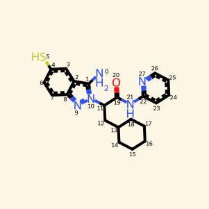 Nc1c2cc(S)ccc2nn1C(CC1CCCCC1)C(=O)Nc1ccccn1